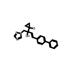 OC(C=Cc1ccc(-c2ccccc2)cc1)(Cn1cncn1)C1(Cl)CC1